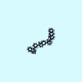 c1cc(-c2ccc3cc(-c4cccc(-c5ccc6cc7ccccc7cc6n5)n4)ccc3n2)cc(-c2cncc3ccccc23)c1